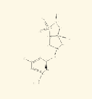 CN1C[C@@H]2C[C@@H](Oc3cc(F)cc([N+](=O)[O-])c3)CN2S1(=O)=O